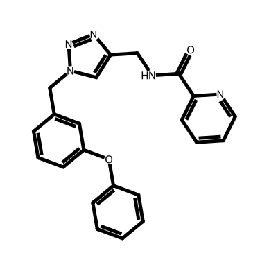 O=C(NCc1cn(Cc2cccc(Oc3ccccc3)c2)nn1)c1ccccn1